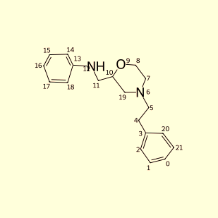 c1ccc(CCN2CCOC(CNc3ccccc3)C2)cc1